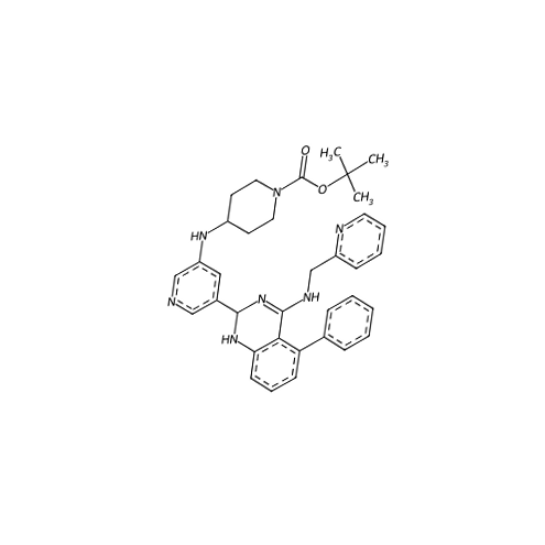 CC(C)(C)OC(=O)N1CCC(Nc2cncc(C3N=C(NCc4ccccn4)c4c(cccc4-c4ccccc4)N3)c2)CC1